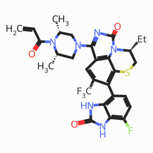 C=CC(=O)N1[C@H](C)CN(c2nc(=O)n3c4c(c(-c5ccc(F)c6[nH]c(=O)[nH]c56)c(C(F)(F)F)cc24)SC[C@@H]3CC)C[C@@H]1C